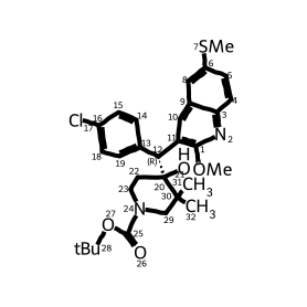 COc1nc2ccc(SC)cc2cc1[C@@H](c1ccc(Cl)cc1)C1(O)CCN(C(=O)OC(C)(C)C)CC1(C)C